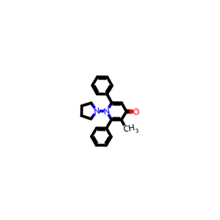 Cc1c(-c2ccccc2)n(N2CCCC2)c(-c2ccccc2)cc1=O